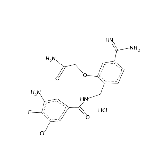 Cl.N=C(N)c1ccc(CNC(=O)c2cc(N)c(F)c(Cl)c2)c(OCC(N)=O)c1